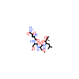 COCC(NC(=O)c1cc(C(N)=O)on1)C(=O)NC(COC)C(=O)NC(CC(C)C)C(=O)[C@@]1(C)CO1